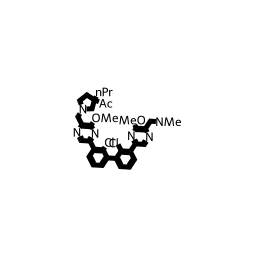 CCCC1(C(C)=O)CCN(Cc2ncc(-c3cccc(-c4cccc(-c5cnc(CNC)c(OC)n5)c4Cl)c3Cl)nc2OC)C1